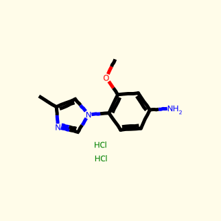 COc1cc(N)ccc1-n1cnc(C)c1.Cl.Cl